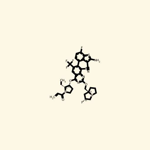 C=CC(=O)N1CC[C@@H](Oc2nc(OC[C@@]34CCCN3C[C@H](F)C4)nc3c(F)c(-c4ccc(F)c5sc(N)c(C#N)c45)c(C(F)(F)F)cc23)[C@H]1CC